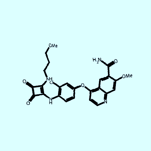 COCCCNc1c(Nc2ccc(Oc3ccnc4cc(OC)c(C(N)=O)cc34)cc2Cl)c(=O)c1=O